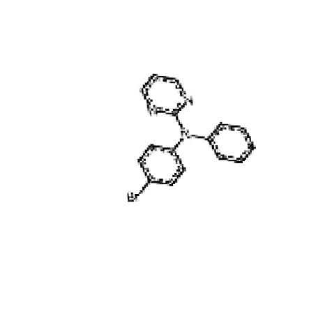 Brc1ccc(N(c2ccccc2)c2ncccn2)cc1